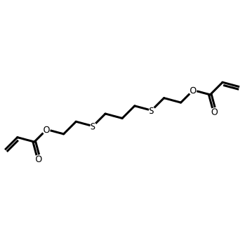 C=CC(=O)OCCSCCCSCCOC(=O)C=C